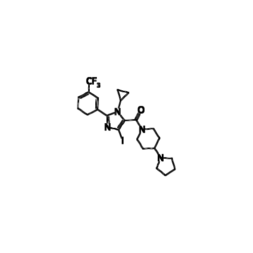 O=C(c1c(I)nc(C2=CC(C(F)(F)F)=CCC2)n1C1CC1)N1CCC(N2CCCC2)CC1